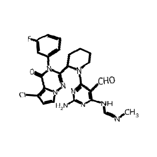 C/N=C\Nc1nc(N)nc(N2CCCCC2c2nn3ccc(Cl)c3c(=O)n2-c2cccc(F)c2)c1C=O